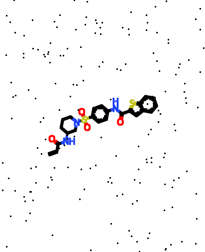 C=CC(=O)N[C@H]1CCCN(S(=O)(=O)c2ccc(NC(=O)c3cc4ccccc4s3)cc2)C1